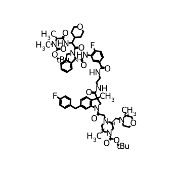 CC(C(=O)NC(C(=O)N1Cc2ccccc2[C@H]1C(=O)Nc1cc(C(=O)NCCNC(=O)C2(C)CN(C(=O)CN3C[C@@H](C)N(C(=O)OC(C)(C)C)C[C@@H]3CN3CCOC[C@H]3C)c3cc(Cc4ccc(F)cc4)ccc32)ccc1F)C1CCOCC1)N(C)C(=O)OC(C)(C)C